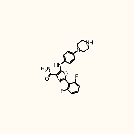 NC(=O)c1nc(-c2c(F)cccc2F)oc1Nc1ccc(N2CCNCC2)cc1